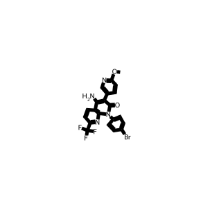 COc1ccc(-c2c(N)c3ccc(C(F)(F)F)nc3n(-c3ccc(Br)cc3)c2=O)cn1